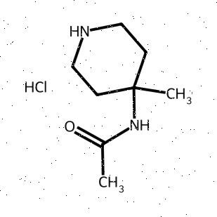 CC(=O)NC1(C)CCNCC1.Cl